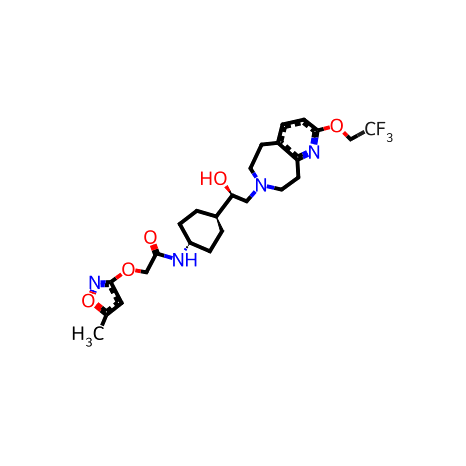 Cc1cc(OCC(=O)N[C@H]2CC[C@H]([C@@H](O)CN3CCc4ccc(OCC(F)(F)F)nc4CC3)CC2)no1